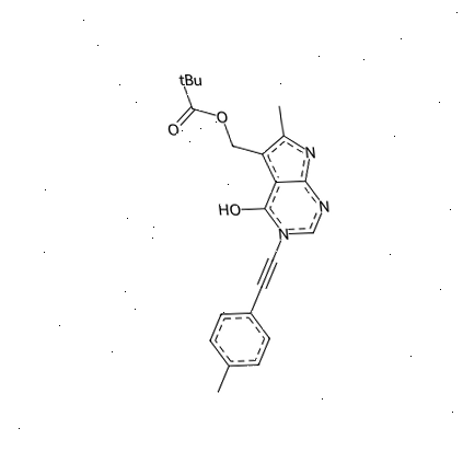 Cc1ccc(C#Cn2cnc3nc(C)c(COC(=O)C(C)(C)C)c-3c2O)cc1